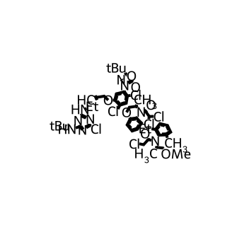 C#CCOc1cc(-n2nc(C(C)(C)C)oc2=O)c(Cl)cc1Cl.CC1COc2ccccc2N1C(=O)C(Cl)Cl.CCNc1nc(Cl)nc(NC(C)(C)C)n1.CCc1cccc(C)c1N(C(=O)CCl)C(C)COC